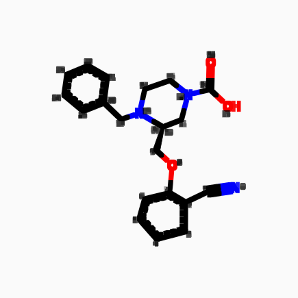 N#Cc1ccccc1OC[C@@H]1CN(C(=O)O)CCN1Cc1ccccc1